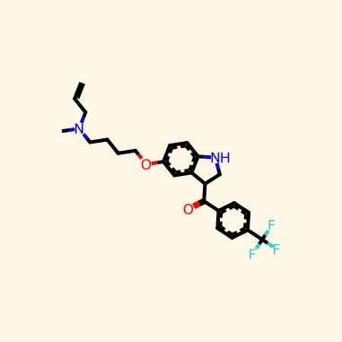 C=CCN(C)CCCCOc1ccc2c(c1)C(C(=O)c1ccc(C(F)(F)F)cc1)CN2